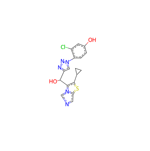 Oc1ccc(-n2cc(C(O)c3c(C4CC4)sc4cncn34)nn2)c(Cl)c1